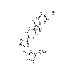 COc1cccc(Cc2csc(N3CCN(S(=O)(=O)c4ccc(CBr)cc4)CC3)n2)c1